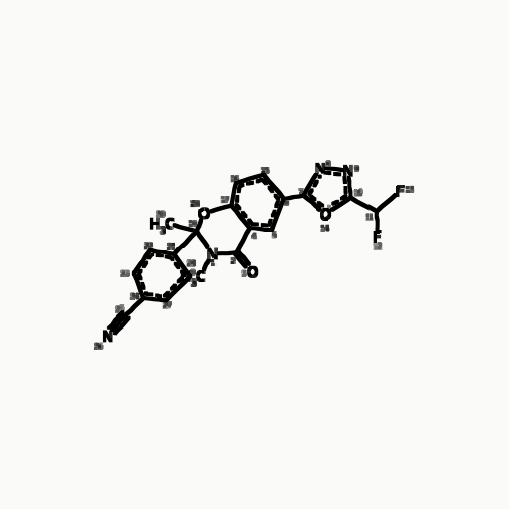 CN1C(=O)c2cc(-c3nnc(C(F)F)o3)ccc2OC1(C)c1ccc(C#N)cc1